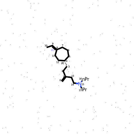 C=C(CC[C@H]1CCC/C(=C/C)CC1)CCN(CCC)C(C)C